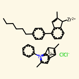 CC1=C2c3cc(C)n(-c4ccccc4)c3C1[Si]2(C)C.CCCCCCc1ccc(-c2cccc3c2C=C(C)[CH]3[Zr+2])cc1.[Cl-].[Cl-]